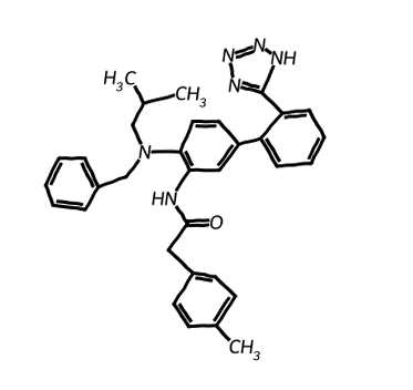 Cc1ccc(CC(=O)Nc2cc(-c3ccccc3-c3nnn[nH]3)ccc2N(Cc2ccccc2)CC(C)C)cc1